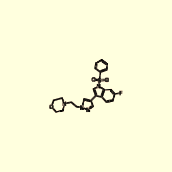 O=S(=O)(c1ccccc1)n1cc(-c2cnn(CCN3CCOCC3)c2)c2ccc(F)cc21